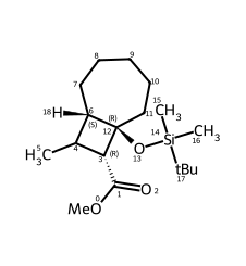 COC(=O)[C@@H]1C(C)[C@@H]2CCCCC[C@]12O[Si](C)(C)C(C)(C)C